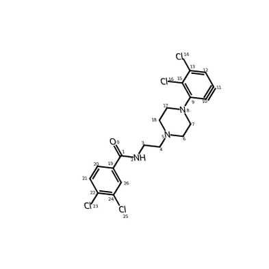 O=C(NCCN1CCN(c2c#ccc(Cl)c2Cl)CC1)c1ccc(Cl)c(Cl)c1